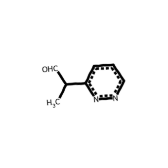 CC(C=O)c1cccnn1